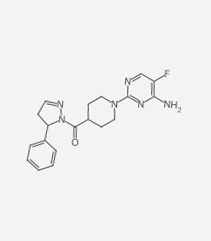 Nc1nc(N2CCC(C(=O)N3N=CCC3c3ccccc3)CC2)ncc1F